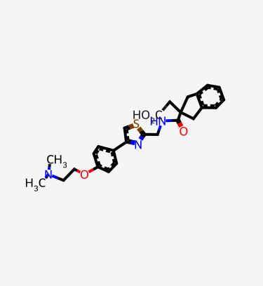 CN(C)CCOc1ccc(-c2csc(CNC(=O)C3(CC(=O)O)Cc4ccccc4C3)n2)cc1